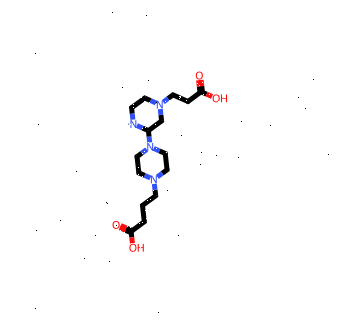 O=C(O)CCCN1CCN(C2CN(CCC(=O)O)CC[N]2)CC1